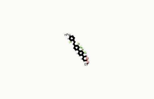 CCCc1ccc(CCc2ccc(-c3ccc(C4CCC(OCC)OC4)c(F)c3F)c(F)c2F)c(F)c1